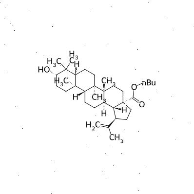 C=C(C)[C@@H]1CC[C@]2(C(=O)OCCCC)CC[C@]3(C)[C@H](CC[C@@H]4[C@@]5(C)CC[C@H](O)C(C)(C)[C@@H]5CC[C@]43C)[C@@H]12